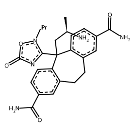 CC(C)n1oc(=O)nc1C1(C[C@@H](C)N)c2ccc(C(N)=O)cc2CCc2cc(C(N)=O)ccc21